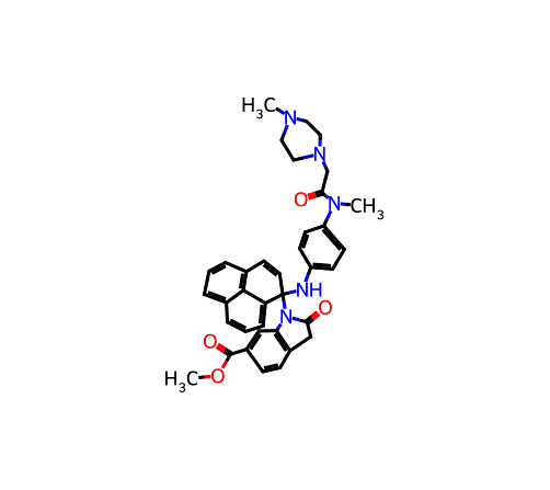 COC(=O)c1ccc2c(c1)N(C1(Nc3ccc(N(C)C(=O)CN4CCN(C)CC4)cc3)C=Cc3cccc4cccc1c34)C(=O)C2